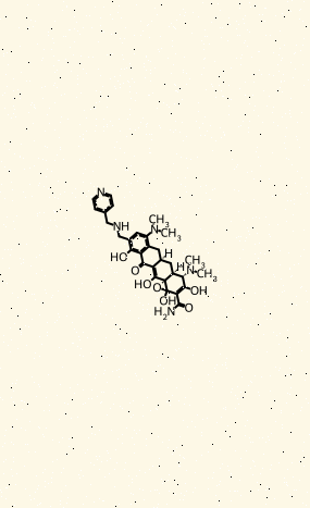 CN(C)c1cc(CNCc2ccncc2)c(O)c2c1C[C@H]1C[C@H]3[C@H](N(C)C)C(O)=C(C(N)=O)C4(O)O[C@]34C(O)=C1C2=O